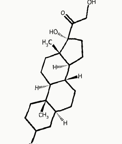 C[C@]12CCC(O)C[C@@H]1CC[C@@H]1[C@@H]2CC[C@@]2(C)[C@H]1CC[C@]2(O)C(=O)CO